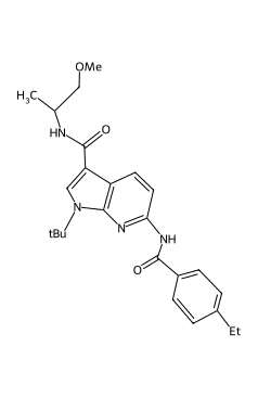 CCc1ccc(C(=O)Nc2ccc3c(C(=O)NC(C)COC)cn(C(C)(C)C)c3n2)cc1